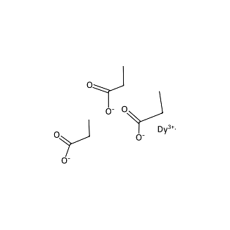 CCC(=O)[O-].CCC(=O)[O-].CCC(=O)[O-].[Dy+3]